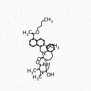 C=C(OCCCC)c1cccc2c(CN3C(=O)[C@@H](NC(=O)[C@H](C)N(C)C(=O)O)CCc4ccccc43)c(OC)ccc12